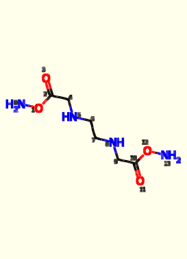 NOC(=O)CNCCNCC(=O)ON